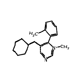 Cc1ccccc1-c1c(CC2CCCCC2)cnc[n+]1C